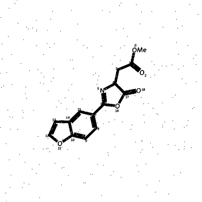 COC(=O)CC1N=C(c2ccc3occc3c2)OC1=O